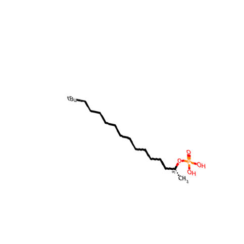 C[C@H](CCCCCCCCCCCCC(C)(C)C)OP(=O)(O)O